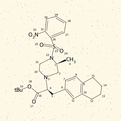 C[C@H]1CN([C@@H](Cc2ccc3c(c2)CCCC3)C(=O)OC(C)(C)C)CCN1S(=O)(=O)c1ccccc1[N+](=O)[O-]